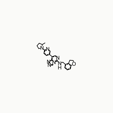 CC1CCCN1c1ccc(-c2cnc(NCc3cccc4c3CCO4)n3cnnc23)cn1